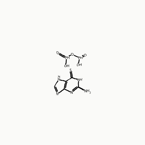 Nc1nc2nc[nH]c2c(=S)[nH]1.O=[PH](O)O[PH](=O)O